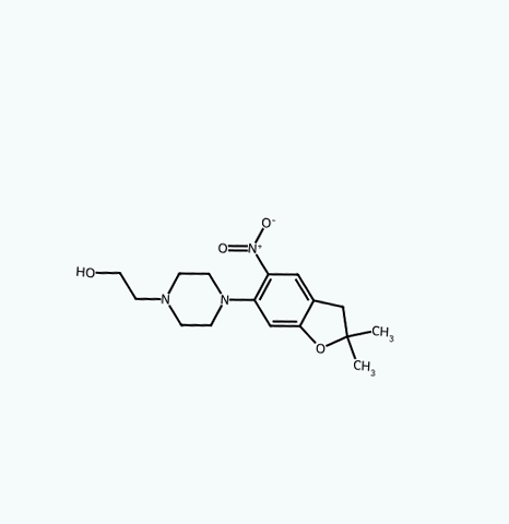 CC1(C)Cc2cc([N+](=O)[O-])c(N3CCN(CCO)CC3)cc2O1